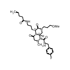 C=CCCC(=O)NCCC[C@H]1C(=O)N(CCCOC)C[C@H]2N1C(=O)CN(C)N2C(=O)NCc1ccc(F)cc1